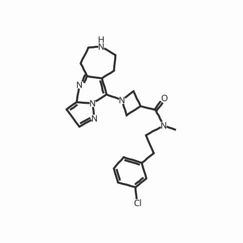 CN(CCc1cccc(Cl)c1)C(=O)C1CN(c2c3c(nc4ccnn24)CCNCC3)C1